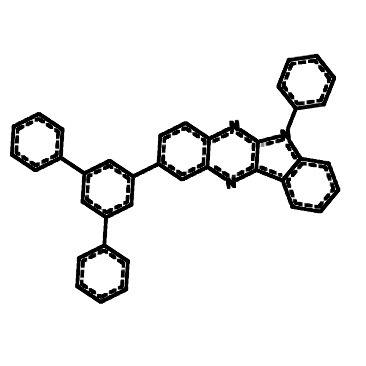 c1ccc(-c2cc(-c3ccccc3)cc(-c3ccc4nc5c(nc4c3)c3ccccc3n5-c3ccccc3)c2)cc1